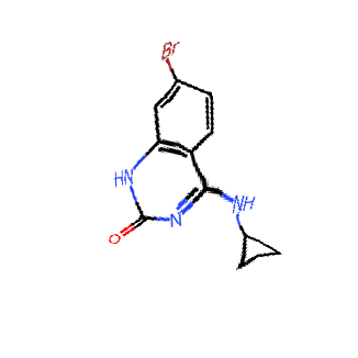 O=c1nc(NC2CC2)c2ccc(Br)cc2[nH]1